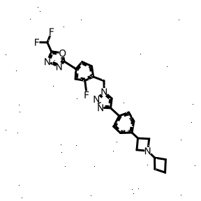 Fc1cc(-c2nnc(C(F)F)o2)ccc1Cn1cc(-c2ccc(C3CN(C4CCC4)C3)cc2)nn1